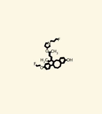 C=CC(=C\C=C(/C)O[C@H]1CCN(CCCF)C1)/C1=C(\c2ccc(OCCF)cc2)CCCc2cc(O)ccc2C1